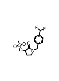 CS(=O)(=O)OC1CCN(Cc2ccc(C(F)F)cc2)C1=O